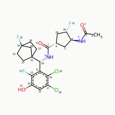 CC(=O)N[C@H]1C[C@H](C(=O)N[C@H](c2c(F)c(O)cc(Cl)c2Cl)C23CCC(F)(CC2)C3)C[C@@H]1F